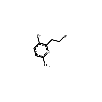 Cc1ccc(C(C)C)c(CCC(C)C)n1